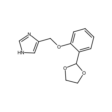 c1ccc(C2OCCO2)c(OCc2c[nH]cn2)c1